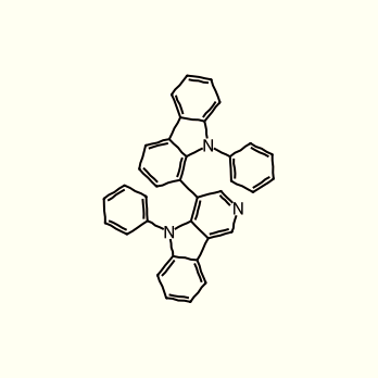 c1ccc(-n2c3ccccc3c3cccc(-c4cncc5c6ccccc6n(-c6ccccc6)c45)c32)cc1